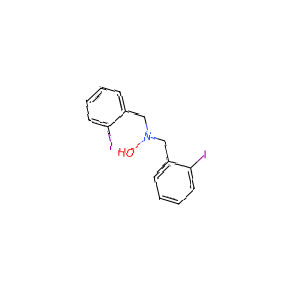 ON(Cc1ccccc1I)Cc1ccccc1I